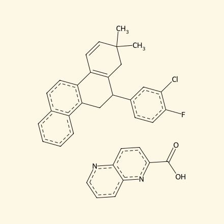 CC1(C)C=CC2=C(C1)C(c1ccc(F)c(Cl)c1)Cc1c2ccc2ccccc12.O=C(O)c1ccc2ncccc2n1